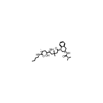 CCCCNC(=O)[C@H](C)C[C@H](O)[C@@H](N)CC(C)(C)CC(=O)N1C[C@H](NC(=O)N(C)C)Cc2ccccc21